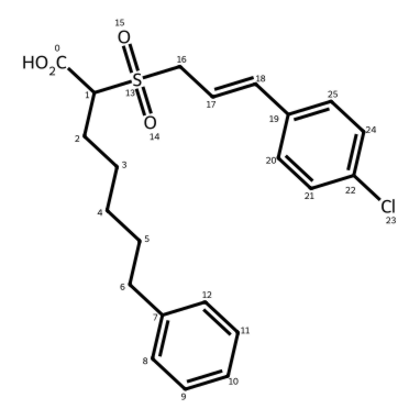 O=C(O)C(CCCCCc1ccccc1)S(=O)(=O)C/C=C/c1ccc(Cl)cc1